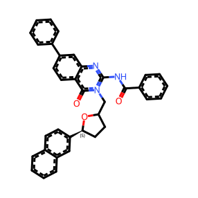 O=C(Nc1nc2cc(-c3ccccc3)ccc2c(=O)n1CC1CC[C@@H](c2ccc3ccccc3c2)O1)c1ccccc1